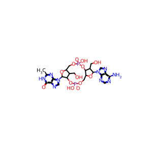 Cc1nc2c(ncn2C2OC3COP(=O)(O)OC4C(COP(=O)(O)OC2C3CO)OC(n2cnc3c(N)ncnc32)C4CO)c(=O)[nH]1